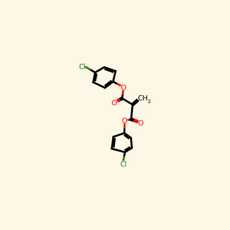 C=C(C(=O)Oc1ccc(Cl)cc1)C(=O)Oc1ccc(Cl)cc1